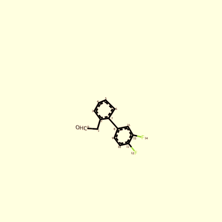 O=CCc1ccccc1-c1ccc(F)c(F)c1